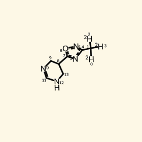 [2H]C([2H])([2H])c1noc(C2CN=CNC2)n1